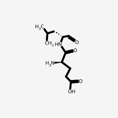 CC(C)C[C@H](C=O)NC(=O)[C@H](N)CCC(=O)O